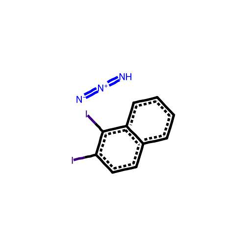 Ic1ccc2ccccc2c1I.[N-]=[N+]=N